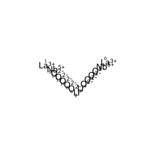 [La+3].[La+3].[Li+].[Li+].[Nb+5].[Nb+5].[O-2].[O-2].[O-2].[O-2].[O-2].[O-2].[O-2].[O-2].[O-2]